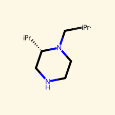 C[C](C)CN1CCNC[C@@H]1C(C)C